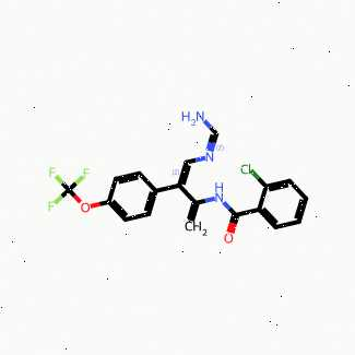 C=C(NC(=O)c1ccccc1Cl)/C(=C\N=C/N)c1ccc(OC(F)(F)F)cc1